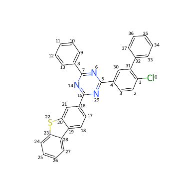 Clc1ccc(-c2nc(-c3ccccc3)nc(-c3ccc4c(c3)sc3ccccc34)n2)cc1-c1ccccc1